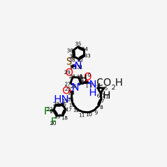 O=C1N[C@]2(C(=O)O)C[C@H]2/C=C\CCCCC[C@H](Nc2ccc(F)c(F)c2)C(=O)N2C[C@H](Oc3nc4ccccc4s3)C[C@@H]12